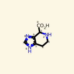 O=C(O)C1NCCc2[nH]cnc21